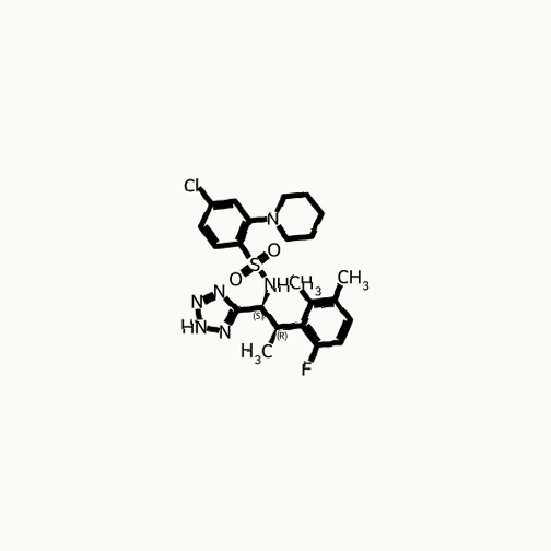 Cc1ccc(F)c([C@@H](C)[C@H](NS(=O)(=O)c2ccc(Cl)cc2N2CCCCC2)c2nn[nH]n2)c1C